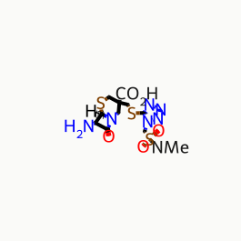 CNS(=O)(=O)Cn1nnnc1SCC1(C(=O)O)CS[C@@H]2C(N)C(=O)N2C1